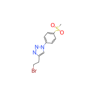 CS(=O)(=O)c1ccc(-n2cc(CCBr)nn2)cc1